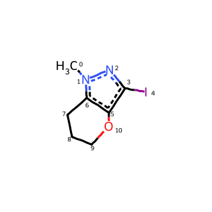 Cn1nc(I)c2c1CCCO2